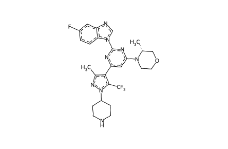 Cc1nn(C2CCNCC2)c(C(F)(F)F)c1-c1cc(N2CCOC[C@H]2C)nc(-n2cnc3cc(F)ccc32)n1